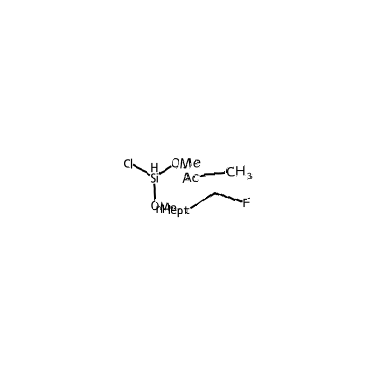 CC(C)=O.CCCCCCCCF.CO[SiH](Cl)OC